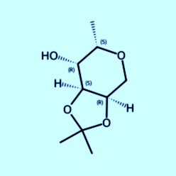 C[C@@H]1OC[C@H]2OC(C)(C)O[C@H]2[C@@H]1O